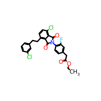 CCOC(=O)Cc1ccc(N2C(=O)c3c(Cl)ccc(CCc4cccc(Cl)c4)c3C2=O)c(F)c1